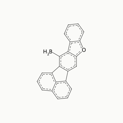 Bc1c2c(cc3oc4ccccc4c13)-c1cccc3cccc-2c13